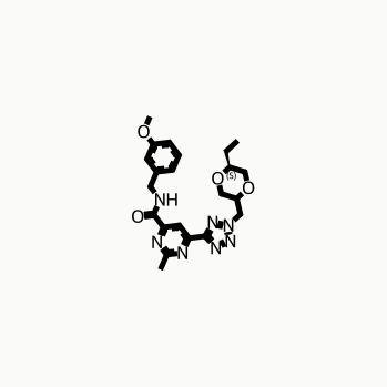 CC[C@H]1COC(Cn2nnc(-c3cc(C(=O)NCc4cccc(OC)c4)nc(C)n3)n2)CO1